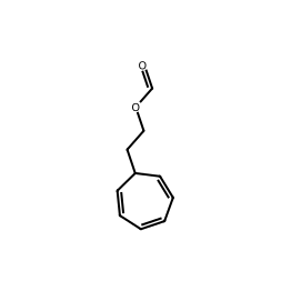 O=COCCC1C=CC=CC=C1